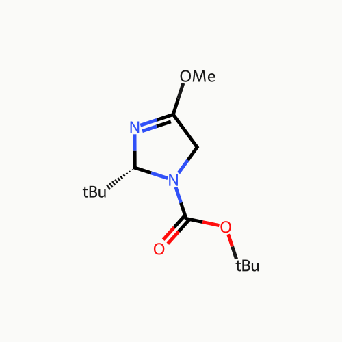 COC1=N[C@@H](C(C)(C)C)N(C(=O)OC(C)(C)C)C1